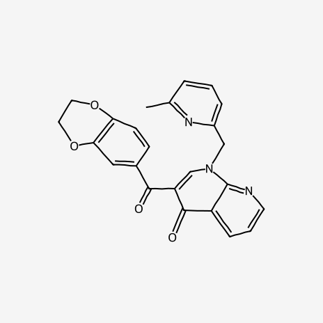 Cc1cccc(Cn2cc(C(=O)c3ccc4c(c3)OCCO4)c(=O)c3cccnc32)n1